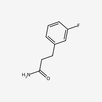 NC(=O)CCc1cccc(F)c1